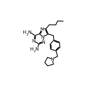 CCCCc1nc2c(N)nc(N)nn2c1Cc1ccc(CN2CCCC2)cc1